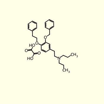 CCCN(CCC)CCc1ccc(OCCc2ccccc2)c(OCc2ccccc2)c1.O=C(O)C(=O)O